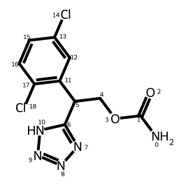 NC(=O)OCC(c1nnn[nH]1)c1cc(Cl)ccc1Cl